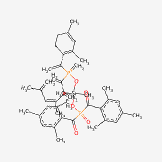 C=C(C)/C=C(/C)C(=C)C(=C)P(=C)(O[Si](C)(C)OP(=O)(C(=O)c1c(C)cc(C)cc1C)C(=O)c1c(C)cc(C)cc1C)C(=C)C1=C(C)C=C(C)CC1